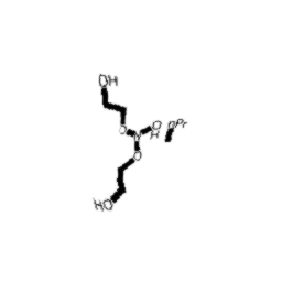 CCCC.OCCON(O)OCCO